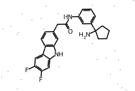 NC1(c2cccc(NC(=O)Cc3ccc4c(c3)[nH]c3cc(F)c(F)cc34)c2)CCCC1